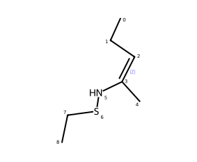 CC/C=C(/C)NSCC